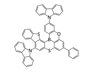 c1ccc(-c2cc3c4c(c2)Sc2cc(-n5c6ccccc6c6ccccc65)c5c(sc6ccccc65)c2B4c2ccc(-n4c5ccccc5c5ccccc54)cc2O3)cc1